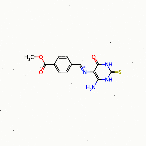 COC(=O)c1ccc(/C=N/c2c(N)[nH]c(=S)[nH]c2=O)cc1